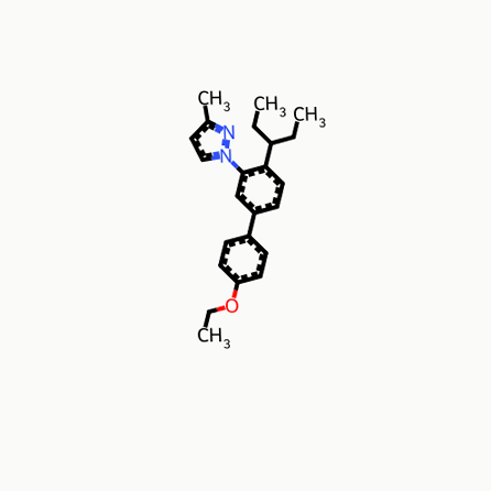 CCOc1ccc(-c2ccc(C(CC)CC)c(-n3ccc(C)n3)c2)cc1